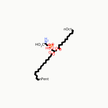 CCCCC/C=C\C/C=C\CCCCCCCCCCCC(=O)O[C@H](COC(=O)CCCCCCCCC/C=C\CCCCCCCC)COP(=O)(O)OC[C@H](N)C(=O)O